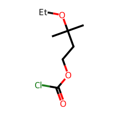 CCOC(C)(C)CCOC(=O)Cl